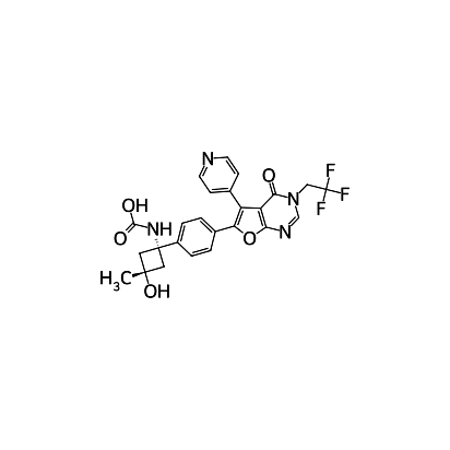 C[C@]1(O)C[C@](NC(=O)O)(c2ccc(-c3oc4ncn(CC(F)(F)F)c(=O)c4c3-c3ccncc3)cc2)C1